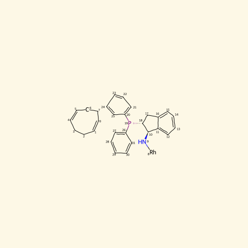 C1=C\CC/C=C\CC/1.[Rh][NH][C@@H]1c2ccccc2C[C@H]1P(c1ccccc1)c1ccccc1